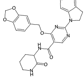 O=C(NC1CCCNC1=O)c1cnc(N2CCc3ccccc32)nc1OCc1ccc2c(c1)OCO2